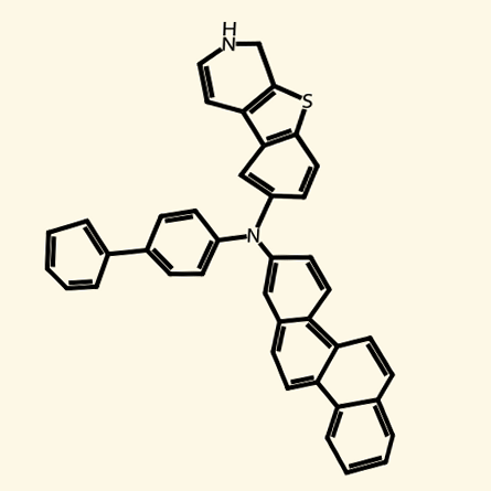 C1=Cc2c(sc3ccc(N(c4ccc(-c5ccccc5)cc4)c4ccc5c(ccc6c7ccccc7ccc56)c4)cc23)CN1